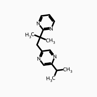 CC(C)c1cnc(CC(C)(C)c2ncccn2)cn1